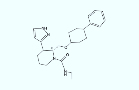 CCNC(=O)N1CCCC(c2cc[nH]n2)[C@@H]1COC1CCC(c2ccccc2)CC1